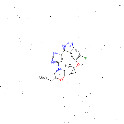 COCC1CN(c2cc(C(=N)c3cc(OC4(C)CC4)c(F)cc3N)ncn2)CCO1